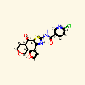 O=C(Nc1nc(-c2ccoc2)c(C(=O)C2CCOCC2)s1)c1ccc(Cl)nc1